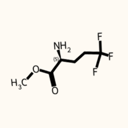 COC(=O)[C@@H](N)CCC(F)(F)F